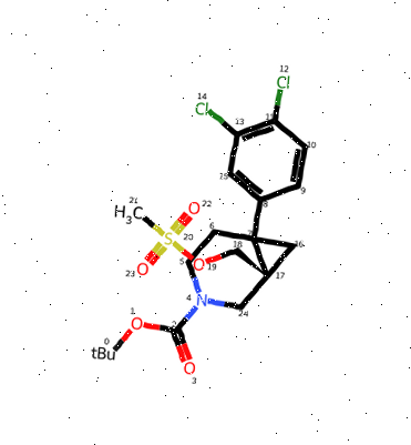 CC(C)(C)OC(=O)N1CCC2(c3ccc(Cl)c(Cl)c3)C[C@]2(COS(C)(=O)=O)C1